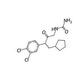 NC(=O)NCC(=O)C(CC1CCCC1)c1ccc(Cl)c(Cl)c1